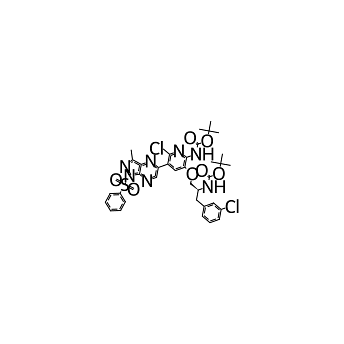 Cc1nn(S(=O)(=O)c2ccccc2)c2ncc(-c3cc(OC[C@H](Cc4cccc(Cl)c4)NC(=O)OC(C)(C)C)c(NC(=O)OC(C)(C)C)nc3Cl)nc12